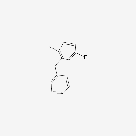 Cc1ccc(F)cc1Cc1ccccc1